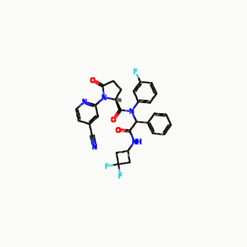 N#Cc1ccnc(N2C(=O)CC[C@H]2C(=O)N(c2cccc(F)c2)C(C(=O)NC2CC(F)(F)C2)c2ccccc2)c1